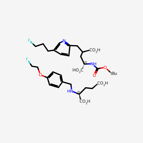 CC(C)(C)OC(=O)N[C@@H](CC(Cc1ccc(CCCF)cn1)C(=O)O)C(=O)O.O=C(O)CC[C@H](NCc1ccc(OCCF)cc1)C(=O)O